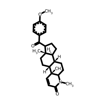 COc1ccc(C(=O)C2CC[C@H]3[C@@H]4CCC5N(C)C(=O)C=C[C@]5(C)[C@@H]4CC[C@]23C)cc1